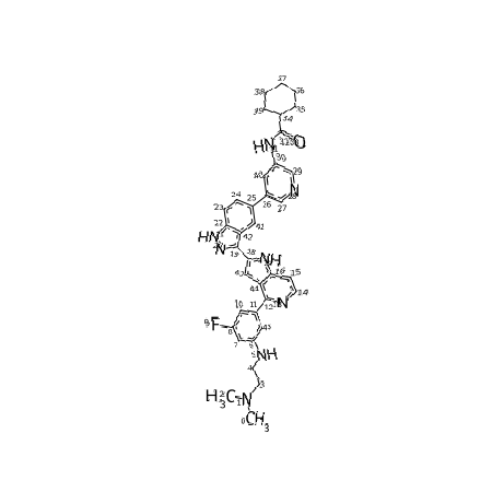 CN(C)CCNc1cc(F)cc(-c2nccc3[nH]c(-c4n[nH]c5ccc(-c6cncc(NC(=O)C7CCCCC7)c6)cc45)cc23)c1